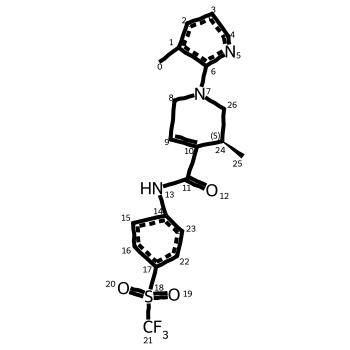 Cc1cccnc1N1CC=C(C(=O)Nc2ccc(S(=O)(=O)C(F)(F)F)cc2)[C@H](C)C1